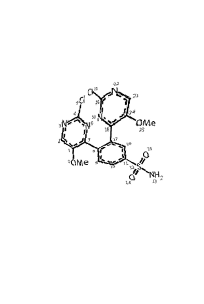 COc1cnc(Cl)nc1-c1ccc(S(N)(=O)=O)cc1-c1nc(Cl)ncc1OC